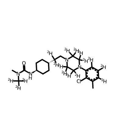 [2H]c1c([2H])c(C)c(Cl)c(N2C([2H])([2H])C([2H])([2H])N(CC([2H])([2H])[C@H]3CC[C@H](NC(=O)N(C)C([2H])([2H])[2H])CC3)C([2H])([2H])C2([2H])[2H])c1[2H]